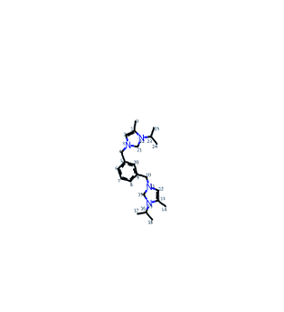 CC1=CN(Cc2cccc(CN3C=C(C)N(C(C)C)C3)c2)CN1C(C)C